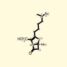 CC(=O)N(C)CCCCC1=C(C(=O)O)N2C(=O)C[C@@H]2S1